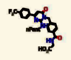 CCCCCNc1nc(-c2ccc(C(F)(F)F)cc2)cc(=O)n1Cc1ccc(C(=O)NCC(=O)O)cc1